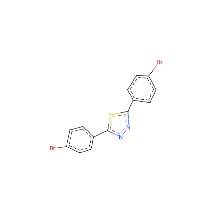 Brc1ccc(-c2nnc(-c3ccc(Br)cc3)s2)cc1